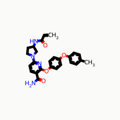 C=CC(=O)NC1CCN(c2ccc(C(N)=O)c(Oc3ccc(Oc4ccc(C)cc4)cc3)n2)C1